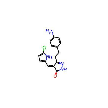 Nc1ccc(CCC2=NNC(=O)C2=Cc2ccc(Cl)[nH]2)cc1